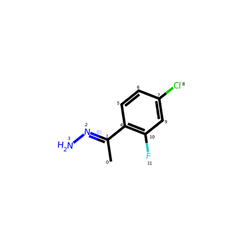 C/C(=N\N)c1ccc(Cl)cc1F